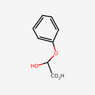 O=C(O)C(O)Oc1ccccc1